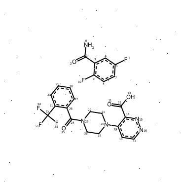 NC(=O)c1cc(F)ccc1F.O=C(O)c1nnccc1N1CCN(C(=O)c2ccccc2C(F)(F)F)CC1